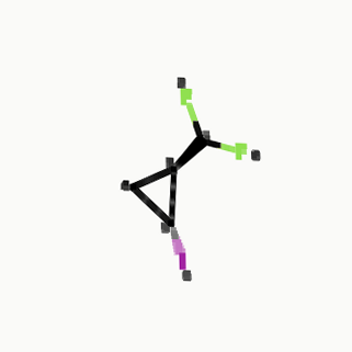 FC(F)[C@@H]1C[C@H]1I